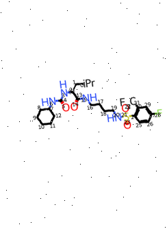 CC(C)C[C@H](NC(=O)NC1CCCCC1)C(=O)NCCCCNS(=O)(=O)c1ccc(F)cc1C(F)(F)F